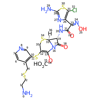 NCCSCc1ccncc1SC1=C(OC(=O)O)N2C(=O)[C@@H](NC(=O)/C(=N\O)c3nc(N)sc3Cl)[C@@H]2SC1